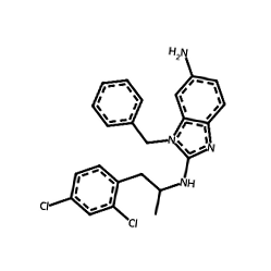 CC(Cc1ccc(Cl)cc1Cl)Nc1nc2ccc(N)cc2n1Cc1ccccc1